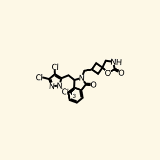 Cn1nc(Cl)c(Cl)c1CC1c2ccccc2C(=O)N1CC1CC2(CNC(=O)O2)C1